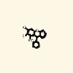 O=C(O)c1c(Cl)c(Cl)cc2c1C(c1ccccc1)c1ccccc1O2